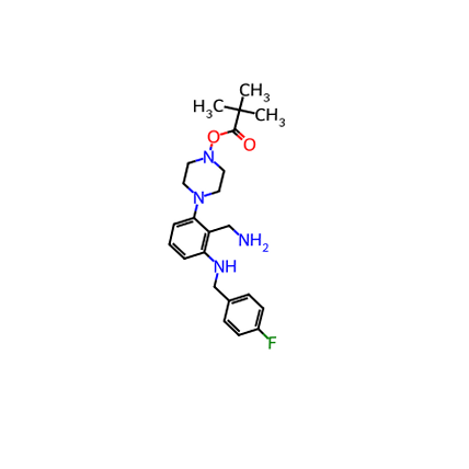 CC(C)(C)C(=O)ON1CCN(c2cccc(NCc3ccc(F)cc3)c2CN)CC1